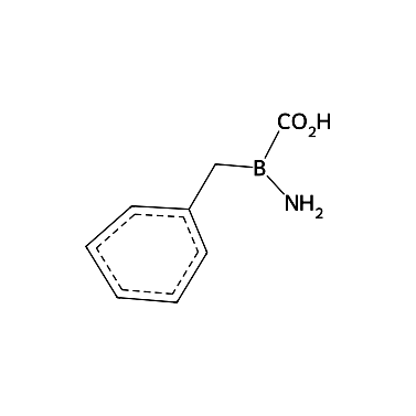 NB(Cc1ccccc1)C(=O)O